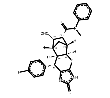 CN(C(=O)[C@H]1[C@@H](C=O)[C@@H]2C[C@H]1[C@H]1Sc3[nH]c(=O)sc3[C@H](c3ccc(F)cc3)[C@@H]21)c1ccccc1